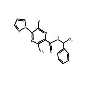 Nc1nc(-n2nccn2)c(Cl)nc1C(=O)NC(c1ccccc1)C(F)(F)F